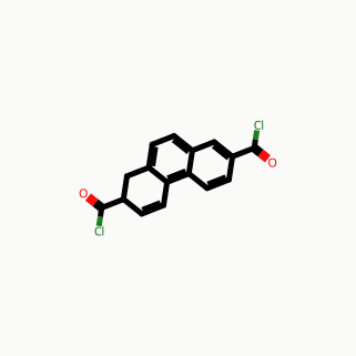 O=C(Cl)c1ccc2c3c(ccc2c1)CC(C(=O)Cl)C=C3